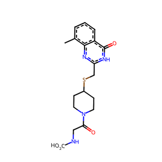 Cc1cccc2c(=O)[nH]c(CSC3CCN(C(=O)CNC(=O)O)CC3)nc12